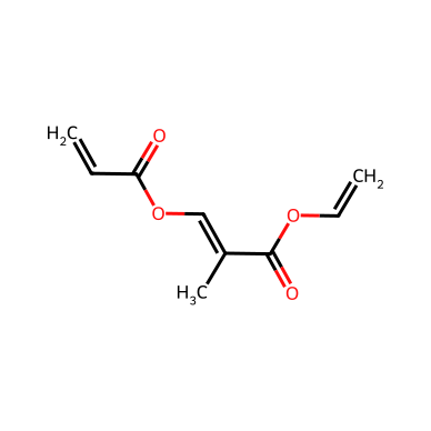 C=COC(=O)C(C)=COC(=O)C=C